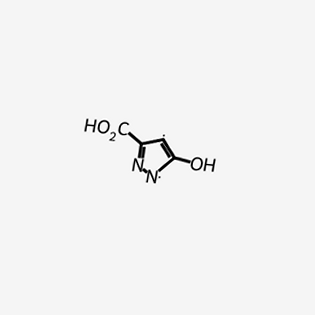 O=C(O)C1=N[N]C(O)=[C]1